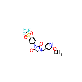 COc1cc(CN2CC(=O)N(c3ccc(S(=O)(=O)C(F)(F)F)cc3)C2=O)ccn1